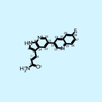 NC(=O)/C=C/c1c[nH]c2ncc(-c3cnc4ccc(F)cc4c3)cc12